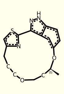 C[C@H]1CCOCCCc2csc(n2)-c2n[nH]c3ccc(cc23)O1